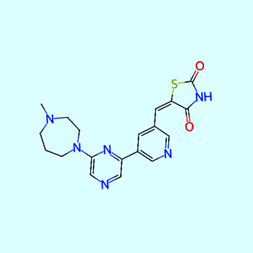 CN1CCCN(c2cncc(-c3cncc(C=C4SC(=O)NC4=O)c3)n2)CC1